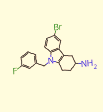 NC1CCc2c(c3cc(Br)ccc3n2Cc2cccc(F)c2)C1